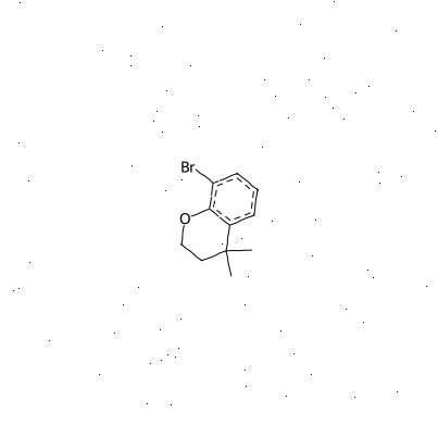 CC1(C)CCOc2c(Br)cccc21